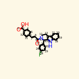 O=C(O)c1ccc(C=CC(=O)N2CCc3c([nH]c4ccccc34)C2c2ccc(F)cc2)cc1